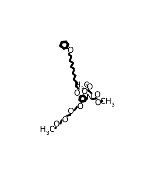 CCOCCOCCOCCOc1cc(OCCCCCCCCCCCCOc2ccccc2)cc(N(CC(=O)OC)CC(=O)OC)c1